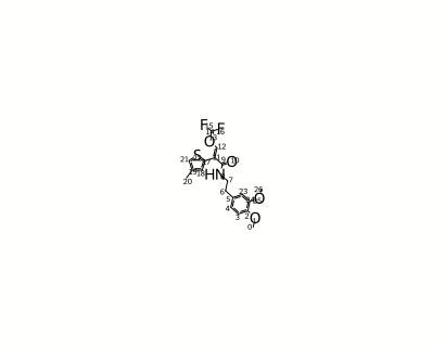 COc1ccc(CCNC(=O)C(=COC(F)F)c2cc(C)cs2)cc1OC